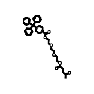 CC(=O)CCC(=O)OCCOCCOCCOC(=O)N1CCN(C(c2ccccc2)(c2ccccc2)c2ccccc2)CC1